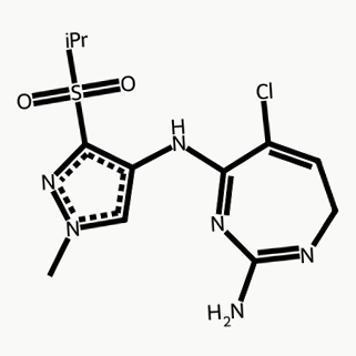 CC(C)S(=O)(=O)c1nn(C)cc1NC1=NC(N)=NCC=C1Cl